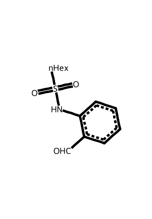 CCCCCCS(=O)(=O)Nc1ccccc1C=O